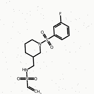 C=CS(=O)(=O)NCC1CCCN(S(=O)(=O)c2cccc(F)c2)C1